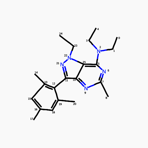 CCN(CC)c1nc(C)nc2c(-c3c(C)cc(C)cc3C)nn(CC)c12